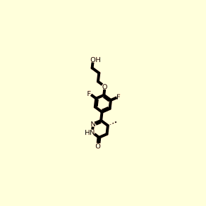 C[C@@H]1CC(=O)NN=C1c1cc(F)c(OCCCO)c(F)c1